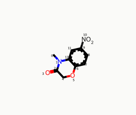 CN1C(=O)COc2ccc([N+](=O)[O-])cc21